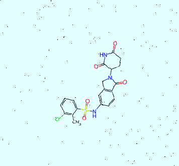 Cc1c(Cl)cccc1S(=O)(=O)Nc1ccc2c(c1)CN(C1CCC(=O)NC1=O)C2=O